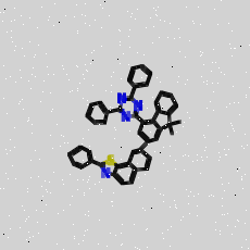 CC1(C)c2ccccc2-c2c(-c3nc(-c4ccccc4)nc(-c4ccccc4)n3)cc(-c3ccc4ccc5nc(-c6ccccc6)sc5c4c3)cc21